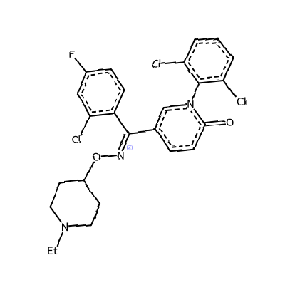 CCN1CCC(O/N=C(/c2ccc(=O)n(-c3c(Cl)cccc3Cl)c2)c2ccc(F)cc2Cl)CC1